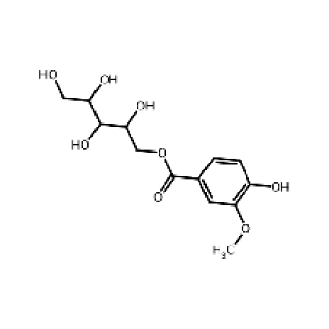 COc1cc(C(=O)OCC(O)C(O)C(O)CO)ccc1O